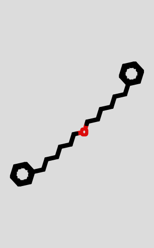 c1ccc(CCCCCCOCCCCCCc2ccccc2)cc1